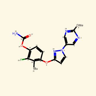 COc1ncc(-n2ccc(Oc3ccc(OC(N)=O)c(F)c3C(C)(C)C)n2)cn1